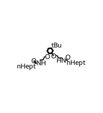 CCCCCCCC(=O)NCCCOc1ccc(C(C)(C)C)cc1OCCCNC(=O)CCCCCCC